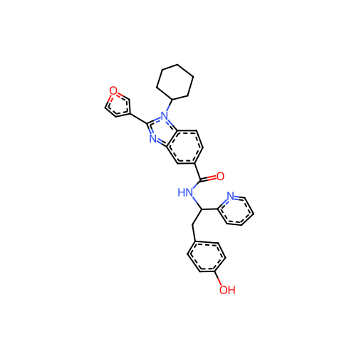 O=C(NC(Cc1ccc(O)cc1)c1ccccn1)c1ccc2c(c1)nc(-c1ccoc1)n2C1CCCCC1